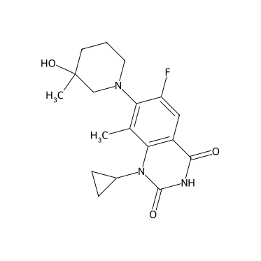 Cc1c(N2CCCC(C)(O)C2)c(F)cc2c(=O)[nH]c(=O)n(C3CC3)c12